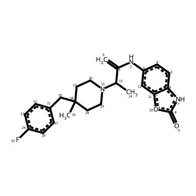 C=C(Nc1ccc2[nH]c(=O)oc2c1)C(C)N1CCC(C)(Cc2ccc(F)cc2)CC1